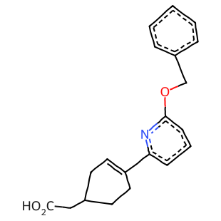 O=C(O)CC1CC=C(c2cccc(OCc3ccccc3)n2)CC1